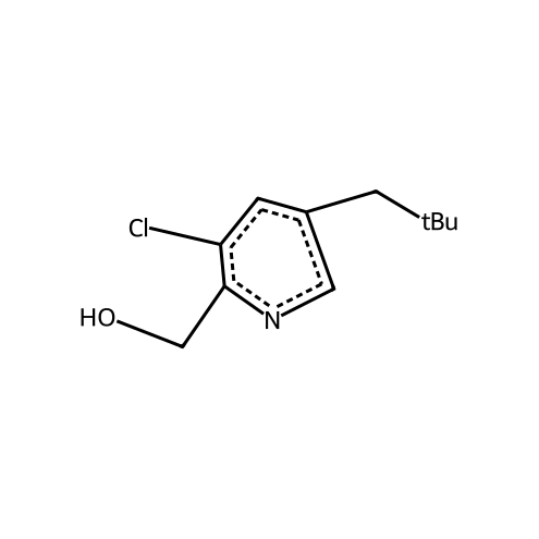 CC(C)(C)Cc1cnc(CO)c(Cl)c1